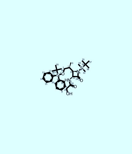 C[C@H](CO[Si](c1ccccc1)(c1ccccc1)C(C)(C)C)[C@@H]1[C@H](NC(=O)CO)C(=O)N1[Si](C)(C)C(C)(C)C